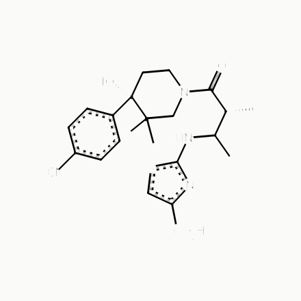 CC(Nc1nc(C(=O)O)cs1)[C@@H](C)C(=O)N1CC[C@](O)(c2ccc(Cl)cc2)C(C)(C)C1